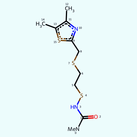 CNC(=O)NSCCSCc1nc(C)c(C)s1